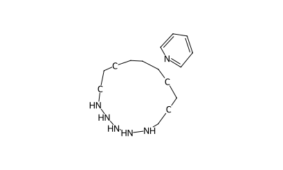 C1CCCCCNNNNNCCCC1.c1ccncc1